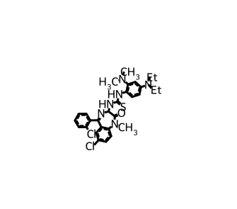 CCN(CC)c1ccc(NC(=S)NC2N=C(c3ccccc3Cl)c3cc(Cl)ccc3N(C)C2=O)c(N(C)C)c1